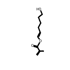 C=C(C)C(=O)OC=CCCCCO